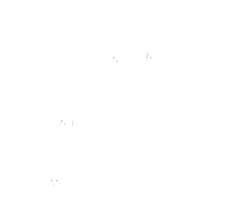 COc1cccc(CNc2ccc(C(=O)N3CCN(c4ccccc4)CC3)cc2)c1